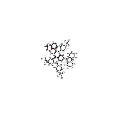 CC1(C)Cc2cc3c(cc2C1)N(c1ccc(C(C)(C)C)cc1-c1ccccc1)c1cc(-n2c4ccccc4c4ccccc42)cc2c1B3c1cc(C(C)(C)C)ccc1N2c1ccc(C(C)(C)C)cc1